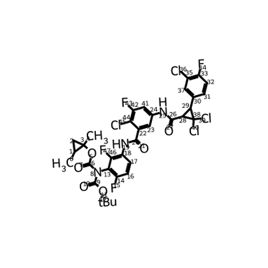 CC1CC1(C)OC(=O)N(C(=O)OC(C)(C)C)c1c(F)ccc(NC(=O)c2cc(NC(=O)C3C(c4ccc(F)c(Cl)c4)C3(Cl)Cl)cc(F)c2Cl)c1F